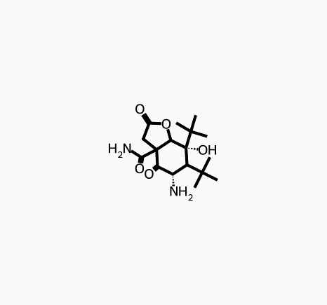 CC(C)(C)C1[C@H](N)C(=O)C2(C(N)=O)CC(=O)OC2[C@@]1(O)C(C)(C)C